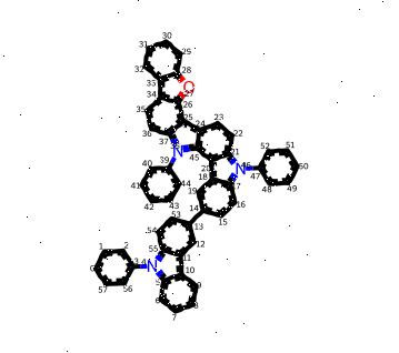 c1ccc(-n2c3ccccc3c3cc(-c4ccc5c(c4)c4c(ccc6c7c8oc9ccccc9c8ccc7n(-c7ccccc7)c64)n5-c4ccccc4)ccc32)cc1